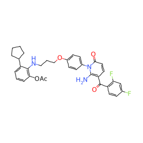 CC(=O)Oc1cccc(C2CCCC2)c1NCCCOc1ccc(-n2c(N)c(C(=O)c3ccc(F)cc3F)ccc2=O)cc1